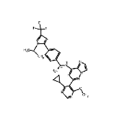 COc1ncnc(C2CC2)c1-c1nc(N[C@@H](C)c2ccc(-c3nc(C(F)(F)F)cn3C(C)C)cc2)c2nccn2n1